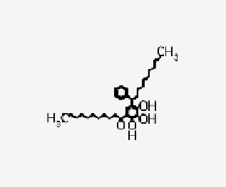 CCCCCCCCCCC(=O)c1cc(C(CCCCCCCCCC)c2ccccc2)c(O)c(O)c1O